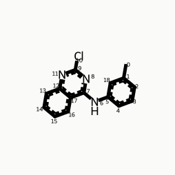 Cc1cccc(Nc2nc(Cl)nc3ccccc23)c1